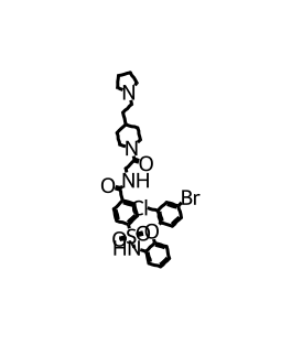 O=C(NCC(=O)N1CCC(CCN2CCCC2)CC1)c1ccc(S(=O)(=O)Nc2ccccc2Oc2ccc(Br)cc2Cl)cc1